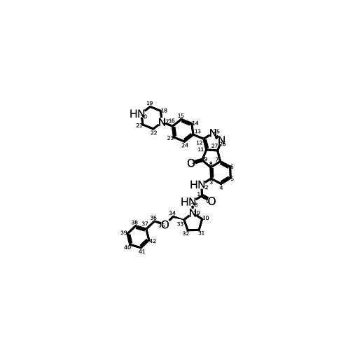 O=C(Nc1cccc2c1C(=O)C1=C(c3ccc(N4CCNCC4)cc3)N=NC12)NN1CCC[C@H]1COCc1ccccc1